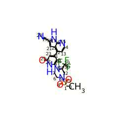 CCS(=O)(=O)N1CCN(c2cc(-c3ccnc4[nH]c(C#N)cc34)cc(=O)[nH]2)C(C(F)(F)F)C1